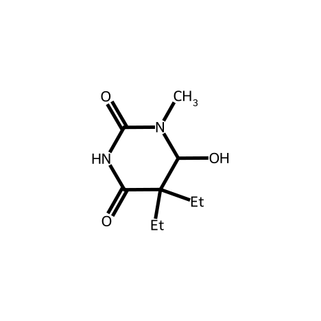 CCC1(CC)C(=O)NC(=O)N(C)C1O